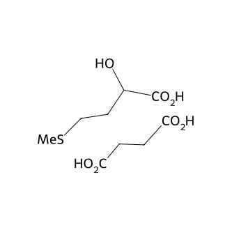 CSCCC(O)C(=O)O.O=C(O)CCC(=O)O